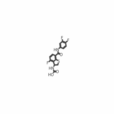 O=C(O)NC1CSc2c(C(=O)Nc3ccc(F)c(F)c3)ccc(F)c21